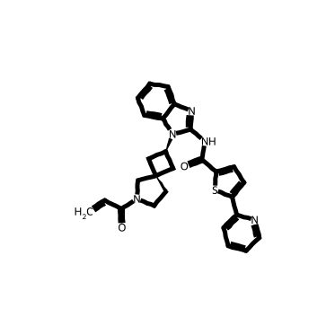 C=CC(=O)N1CC[C@]2(C1)C[C@H](n1c(NC(=O)c3ccc(-c4ccccn4)s3)nc3ccccc31)C2